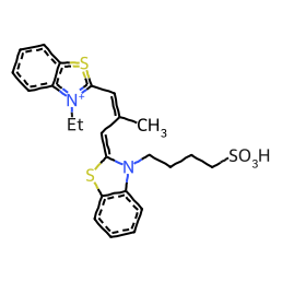 CC[n+]1c(C=C(C)C=C2Sc3ccccc3N2CCCCS(=O)(=O)O)sc2ccccc21